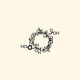 CC[C@@H](C)[C@@H]1NC(=O)[C@H](CCC(=O)O)NC(=O)[C@@H]2CCCN2C(=O)[C@H](CC(C)C)NC(=O)CNC(=O)[C@H](Cc2ccc(O)cc2)NC(=O)[C@H](C(C)C)NC(=O)CNC1=O